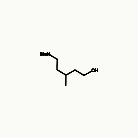 CNCCC(C)CCO